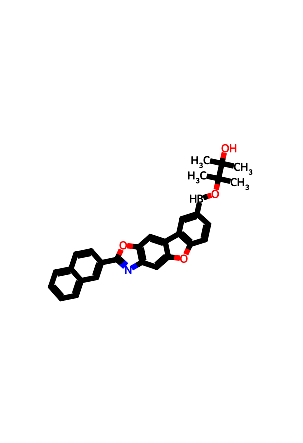 CC(C)(O)C(C)(C)OBc1ccc2oc3cc4nc(-c5ccc6ccccc6c5)oc4cc3c2c1